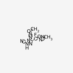 C=CC(=O)N1CCN(c2nc(Nc3ccncc3)ncc2-c2ccc(Oc3nccc(C)n3)c(F)c2)CC1